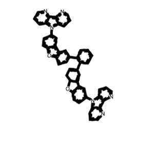 C1=C(c2ccccc2-c2ccc3oc4ccc(-n5c6cccnc6c6ncccc65)cc4c3c2)C=C2c3cc(-n4c5cccnc5c5ncccc54)ccc3OC2C1